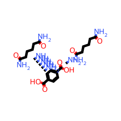 CN.CN.CN.CN.CN.CN.NC(=O)CCCCC(N)=O.NC(=O)CCCCC(N)=O.O=C(O)c1ccc(C(=O)O)cc1